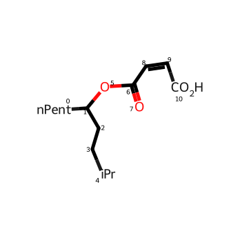 CCCCCC(CCC(C)C)OC(=O)/C=C\C(=O)O